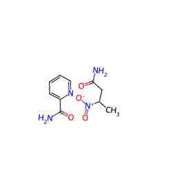 CC(CC(N)=O)[N+](=O)[O-].NC(=O)c1ccccn1